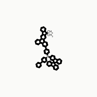 CC1(C)c2ccccc2-c2cc3c4ccccc4c4cc(-c5ccc(N(c6ccc(-c7ccccc7)cc6)c6ccc7c(c6)C6(c8ccccc8-c8ccccc86)c6ccccc6-7)cc5)ccc4c3cc21